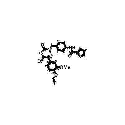 CCC1SC(=O)N(Cc2ccc(NC(=O)c3cccs3)cc2)N=C1c1ccc(OCF)c(OC)c1